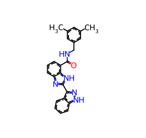 Cc1cc(C)cc(CNC(=O)c2cccc3nc(-c4n[nH]c5ccccc45)[nH]c23)c1